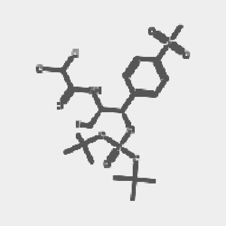 CC(C)(C)OP(=O)(O[C@H](c1ccc(S(C)(=O)=O)cc1)[C@@H](CF)NC(=O)C(Cl)Cl)OC(C)(C)C